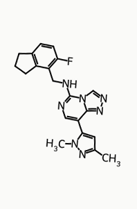 Cc1cc(-c2cnc(NCc3c(F)ccc4c3CCC4)n3cnnc23)n(C)n1